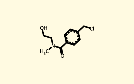 CN(CCO)C(=O)c1ccc(CCl)cc1